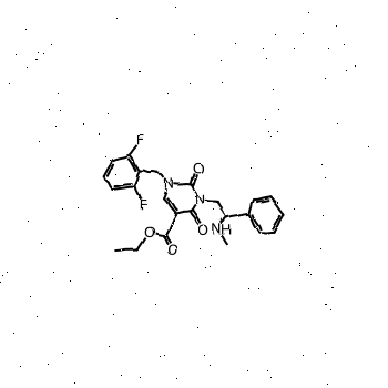 CCOC(=O)c1cn(Cc2c(F)cccc2F)c(=O)n(C[C@H](NC)c2ccccc2)c1=O